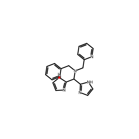 c1ccc(CN(Cc2ccccn2)C(c2ncc[nH]2)c2ncc[nH]2)nc1